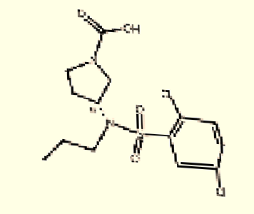 CCCN([C@@H]1CCN(C(=O)O)C1)S(=O)(=O)c1cc(Cl)ccc1Cl